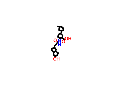 Cc1cccc(C2CCC(NC(=O)CCc3ccc4cc(O)ccc4c3)=C(C(=O)O)C2)c1